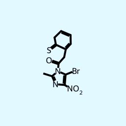 Cc1nc([N+](=O)[O-])c(Br)n1C(=O)CC1=CC=CCC1=S